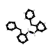 c1ccc(Cc2ccccc2/N=N/c2ccccc2Cc2ccccc2)cc1